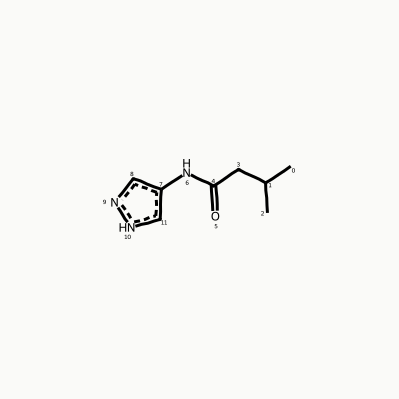 CC(C)CC(=O)Nc1cn[nH]c1